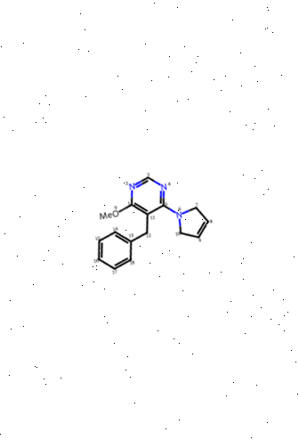 COc1ncnc(N2CC=CC2)c1Cc1ccccc1